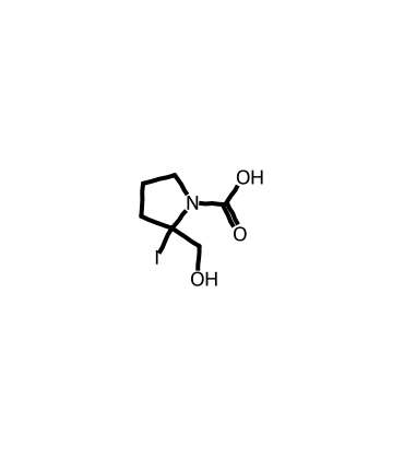 O=C(O)N1CCCC1(I)CO